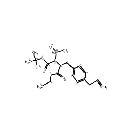 C=CCc1ccc(C[C@@H](C(=O)OCC)N(C(=O)OC(C)(C)C)[SiH](C)C)cc1